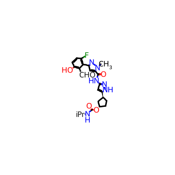 CC(C)NC(=O)O[C@@H]1CC[C@H](c2cc(NC(=O)c3cc(-c4c(F)ccc(O)c4C=O)nn3C)n[nH]2)C1